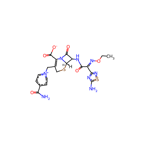 CCON=C(C(=O)NC1C(=O)N2C(C(=O)[O-])=C(C[n+]3ccc(C(N)=O)cc3)CS[C@@H]12)c1nsc(N)n1